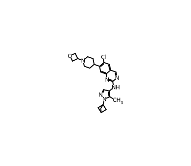 Cc1c(Nc2ncc3cc(Cl)c(C4CCN(C5COC5)CC4)cc3n2)cnn1C12CC(C1)C2